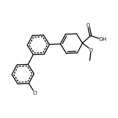 COC1(C(=O)O)C=CC(c2cccc(-c3cccc(Cl)c3)c2)=CC1